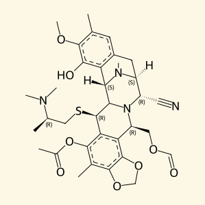 COc1c(C)cc2c(c1O)[C@H]1C3[C@H](SC[C@@H](C)N(C)C)c4c(OC(C)=O)c(C)c5c(c4[C@H](COC=O)N3[C@@H](C#N)[C@H](C2)N1C)OCO5